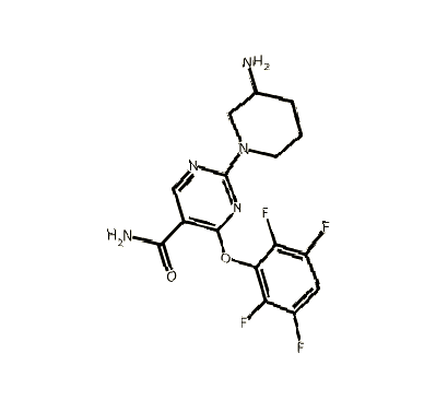 NC(=O)c1cnc(N2CCCC(N)C2)nc1Oc1c(F)c(F)cc(F)c1F